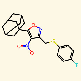 O=[N+]([O-])c1c(CSc2ccc(F)cc2)noc1C12CC3CC(CC(C3)C1)C2